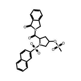 CS(=O)(=O)OC1CC(C(=O)N2Cc3ccccc3C2=O)N(S(=O)(=O)c2ccc3ccccc3c2)C1